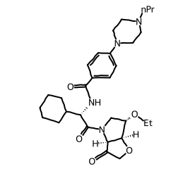 CCCN1CCN(c2ccc(C(=O)N[C@H](C(=O)N3C[C@H](OCC)[C@H]4OCC(=O)[C@H]43)C3CCCCC3)cc2)CC1